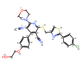 [C-]#[N+]c1c(N2CCOCC2)nc(SCc2csc(-c3ccc(Cl)cc3)n2)c(C#N)c1-c1ccc(OCCO)cc1